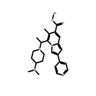 Cc1c(C(=O)OC(C)C)cc2cc(-c3ccncc3)cn2c1C(C)N1CCC(N(C)C)CC1